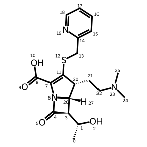 C[C@@H](O)[C@H]1C(=O)N2C(C(=O)O)=C(SCc3ccccn3)[C@H](CCN(C)C)[C@H]12